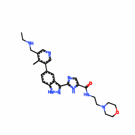 CCNCc1cncc(-c2ccc3[nH]nc(-c4ncc(C(=O)NCCN5CCOCC5)[nH]4)c3c2)c1C